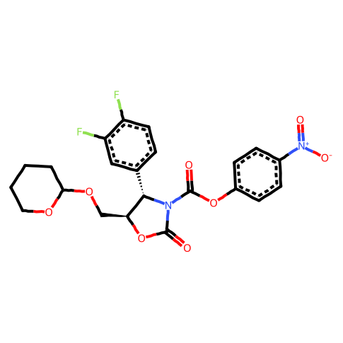 O=C(Oc1ccc([N+](=O)[O-])cc1)N1C(=O)O[C@@H](COC2CCCCO2)[C@@H]1c1ccc(F)c(F)c1